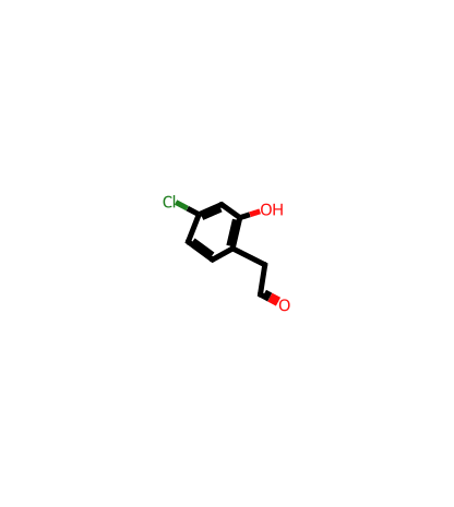 O=CCc1ccc(Cl)cc1O